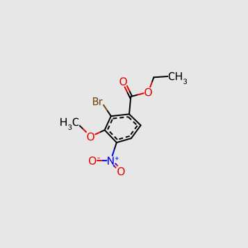 CCOC(=O)c1ccc([N+](=O)[O-])c(OC)c1Br